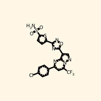 NS(=O)(=O)c1ccc(-c2noc(-c3cnn4c(C(F)(F)F)cc(-c5ccc(Cl)cc5)nc34)n2)s1